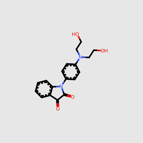 O=C1C(=O)N(c2ccc(N(CCO)CCO)cc2)c2ccccc21